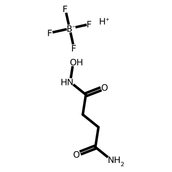 F[B-](F)(F)F.NC(=O)CCC(=O)NO.[H+]